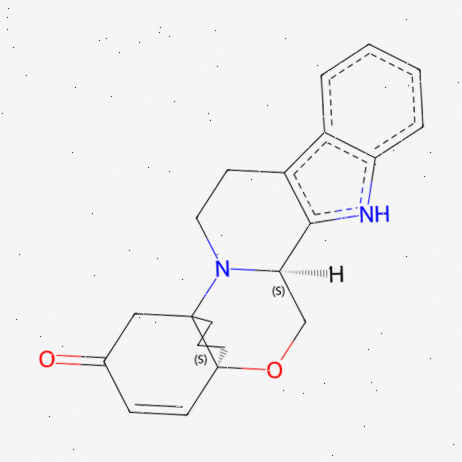 O=C1C=C[C@@]23CCCC2(C1)N1CCc2c([nH]c4ccccc24)[C@H]1CO3